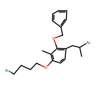 CC(=O)C(C)Cc1ccc(OCCCCBr)c(C)c1OCc1ccccc1